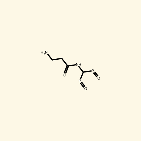 NCCC(=O)NC(P=O)P=O